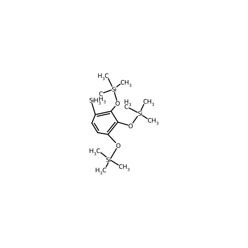 C[Si](C)(C)Oc1ccc([SiH3])c(O[Si](C)(C)C)c1O[Si](C)(C)C